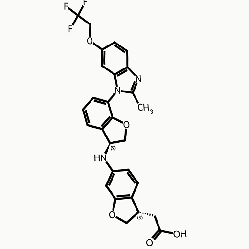 Cc1nc2ccc(OCC(F)(F)F)cc2n1-c1cccc2c1OC[C@H]2Nc1ccc2c(c1)OC[C@H]2CC(=O)O